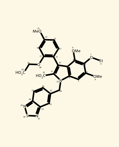 CCOc1c(OC)cc2c(c1OC)c(-c1ccc(OC)cc1OCC(=O)O)c(C(=O)O)n2Cc1ccc2nsnc2c1